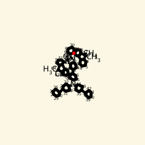 CC1(C)c2ccccc2-c2c(N3c4ccc(-c5ccc(N(c6ccc(-c7ccccc7)cc6)c6ccc(-c7ccccc7)cc6)cc5)cc4N(c4cccc5c4-c4ccccc4C5(C)C)P3(=O)c3ccccc3)cccc21